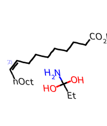 CCC(N)(O)O.CCCCCCCC/C=C\CCCCCCCC(=O)O